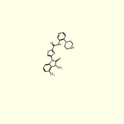 Cn1c(=O)n(-c2csc(C(=O)Nc3cnccc3N3CCNCC3)n2)c2cccc(C(F)(F)F)c21